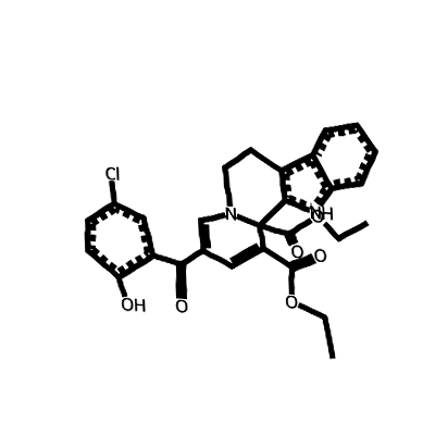 CCOC(=O)C1=CC(C(=O)c2cc(Cl)ccc2O)=CN2CCc3c([nH]c4ccccc34)C12C(=O)OCC